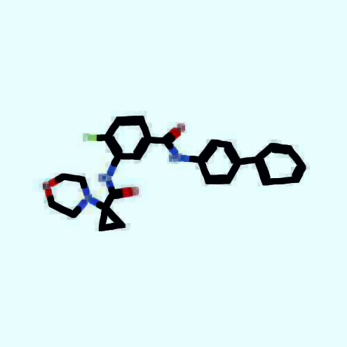 O=C(Nc1ccc(-c2ccccc2)cc1)c1ccc(F)c(NC(=O)C2(N3CCOCC3)CC2)c1